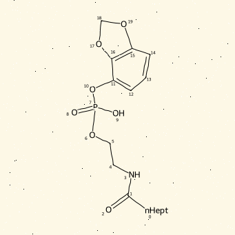 CCCCCCCC(=O)NCCOP(=O)(O)Oc1cccc2c1OCO2